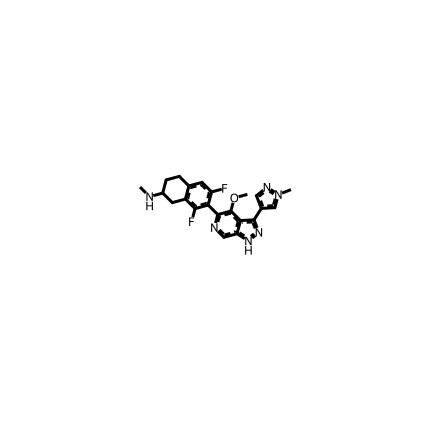 CNC1CCc2cc(F)c(-c3ncc4[nH]nc(-c5cnn(C)c5)c4c3OC)c(F)c2C1